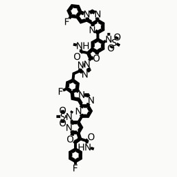 CNC(=O)c1c(-n2cnc(Cc3cc(F)c4cc5c6nc(-c7cc8c(C(=O)NC)c(-c9ccc(F)cc9)oc8nc7N(C)S(C)(=O)=O)ccc6ncn5c4c3)n2)oc2cc(N(C)S(C)(=O)=O)c(-c3ccc4ncn5c6cccc(F)c6cc5c4n3)cc12